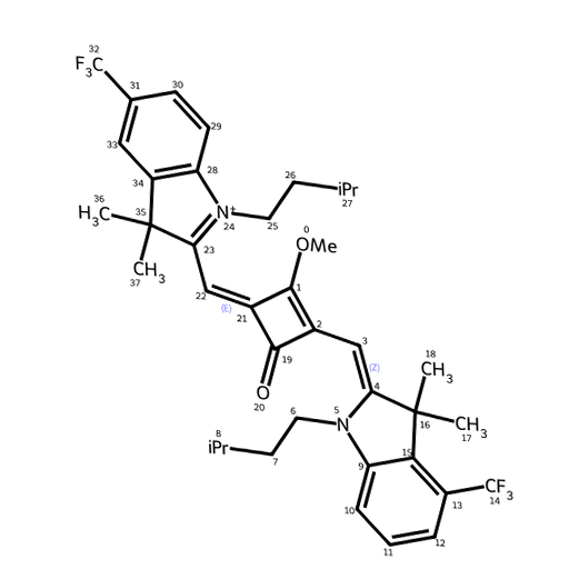 COC1=C(/C=C2\N(CCC(C)C)c3cccc(C(F)(F)F)c3C2(C)C)C(=O)/C1=C/C1=[N+](CCC(C)C)c2ccc(C(F)(F)F)cc2C1(C)C